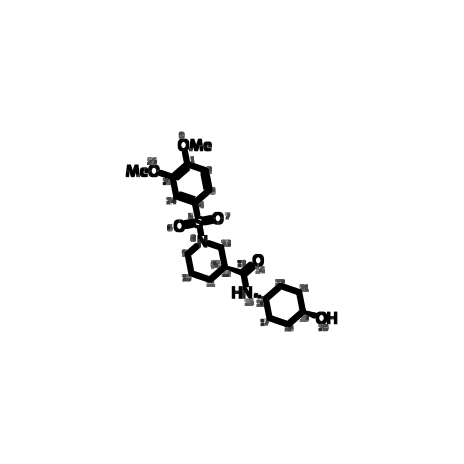 COc1ccc(S(=O)(=O)N2CCC[C@H](C(=O)N[C@H]3CC[C@H](O)CC3)C2)cc1OC